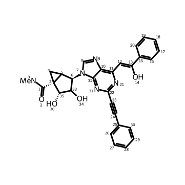 CNC(=O)[C@]12CC1[C@@H](n1cnc3c(/C=C(\O)c4ccccc4)nc(C#Cc4ccccc4)nc31)C(O)[C@@H]2O